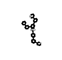 c1ccc(-c2cccc(-c3cc(-c4cccc(-c5cccnc5)c4)cc4oc(-c5ccc(-c6cccc(-c7cccnc7)c6)cc5)nc34)c2)cc1